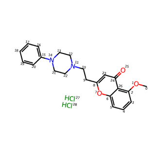 COc1cccc2oc(CCN3CCN(c4ccccc4)CC3)cc(=O)c12.Cl.Cl